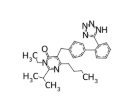 CCCCc1nc(C(C)C)n(CC)c(=O)c1Cc1ccc(-c2ccccc2-c2nnn[nH]2)cc1